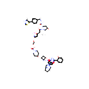 Cc1ncsc1-c1ccc([C@H](C)NC(=O)[C@@H]2C[C@@H](O)CN2C(=O)[C@@H](c2cc(OCCOC(=O)N3CCC(O[C@H]4C[C@H](Oc5cc(N6C7CCC6CN(c6cc(-c8ccccc8O)nnc6N)C7)ccn5)C4)CC3)no2)C(C)C)cc1